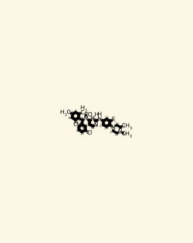 Cc1cc(C)c(C(c2cccc(Cl)c2)N(C(=O)O)c2ccnc(Nc3ccc(N4CCN(C)C(C)C4)c(F)c3)n2)c(C)c1